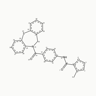 Cc1ccoc1C(=O)Nc1ccc(C(=O)N2Cc3ccccc3Sc3ccccc32)cc1